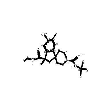 CCOC(=O)C1(C)CC2(CCN(C(=O)OC(C)(C)C)CC2)c2cc(C)c(Cl)cc21